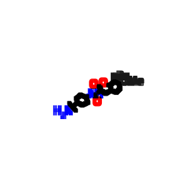 CCCCc1c(OC)ccc2cc(C(=O)Nc3ccc(C(C)(C)N)cc3)c(=O)oc12